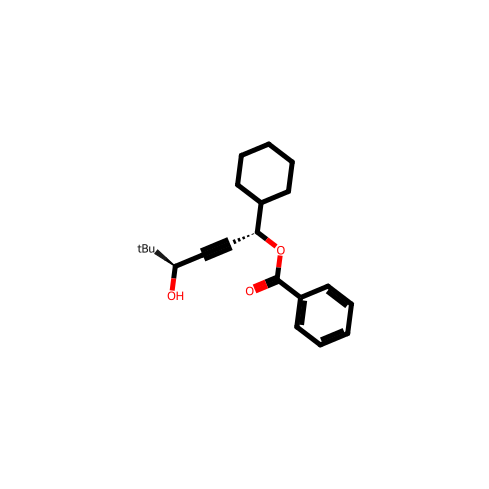 CC(C)(C)[C@H](O)C#C[C@@H](OC(=O)c1ccccc1)C1CCCCC1